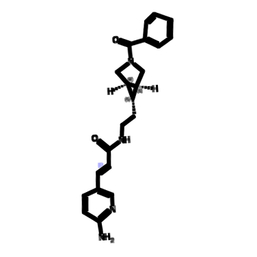 Nc1ccc(/C=C/C(=O)NCC[C@@H]2[C@H]3CN(C(=O)c4ccccc4)C[C@@H]23)cn1